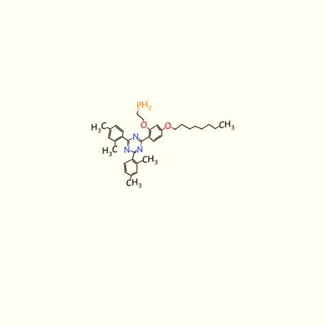 CCCCCCCCOc1ccc(-c2nc(-c3ccc(C)cc3C)nc(-c3ccc(C)cc3C)n2)c(OCCP)c1